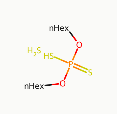 CCCCCCOP(=S)(S)OCCCCCC.S